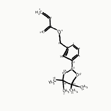 C=CC(=O)OCc1cccc(B2OC(C)(C)C(C)(C)O2)c1